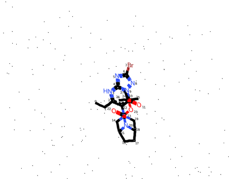 CCc1[nH]c2nc(Br)nn2c(=O)c1N1CC2CCC(C1)N2C(=O)OC(C)(C)C